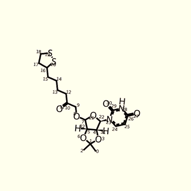 CC1(C)O[C@@H]2[C@H](O1)C(OCC(=O)CCCCC1CCSS1)O[C@H]2n1ccc(=O)[nH]c1=O